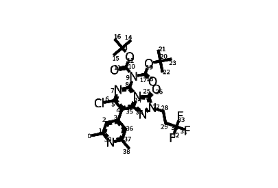 Cc1cc(-c2c(Cl)nc(N(C(=O)OC(C)(C)C)C(=O)OC(C)(C)C)n3c(=O)n(CCC(F)(F)F)nc23)cc(C)n1